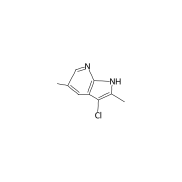 Cc1cnc2[nH]c(C)c(Cl)c2c1